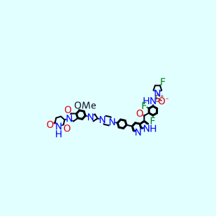 COc1cc(N2CC(N3CCN(c4ccc(-c5cnc6[nH]cc(C(=O)c7c(F)ccc(N[S+]([O-])N8CCC(F)C8)c7F)c6c5)cc4)CC3)C2)cc2c1C(=O)N(C1CCC(=O)NC1=O)C2